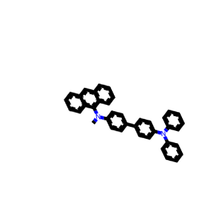 CN(c1ccc(-c2ccc(N(c3ccccc3)c3ccccc3)cc2)cc1)c1c2ccccc2cc2ccccc12